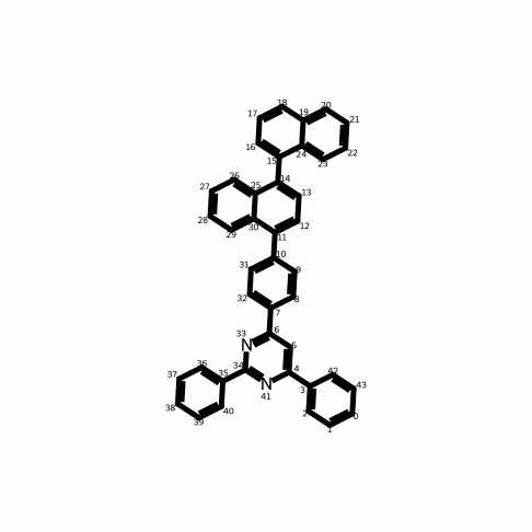 c1ccc(-c2cc(-c3ccc(-c4ccc(-c5cccc6ccccc56)c5ccccc45)cc3)nc(-c3ccccc3)n2)cc1